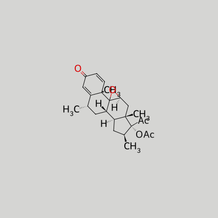 CC(=O)O[C@]1(C(C)=O)[C@@H](C)C[C@H]2[C@@H]3C[C@H](C)C4=CC(=O)C=C[C@]4(C)C34O[C@H]4C[C@@]21C